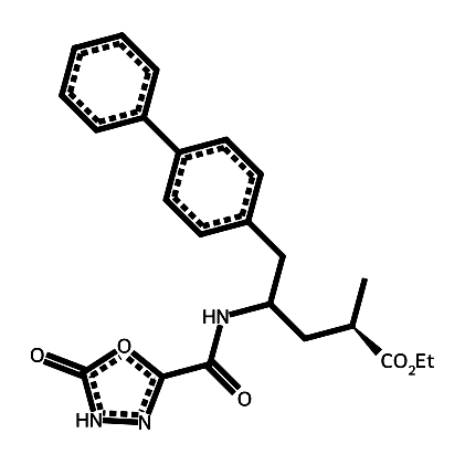 CCOC(=O)[C@H](C)CC(Cc1ccc(-c2ccccc2)cc1)NC(=O)c1n[nH]c(=O)o1